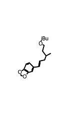 CCC(C)OCCC(C)C/C=C/c1ccc2c(c1)OCO2